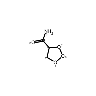 NC(=O)C1COOO1